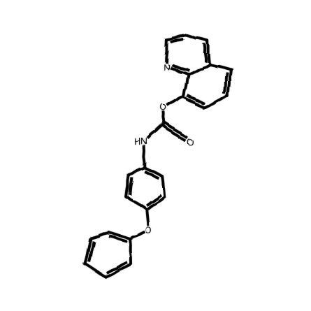 O=C(Nc1ccc(Oc2ccccc2)cc1)Oc1cccc2cccnc12